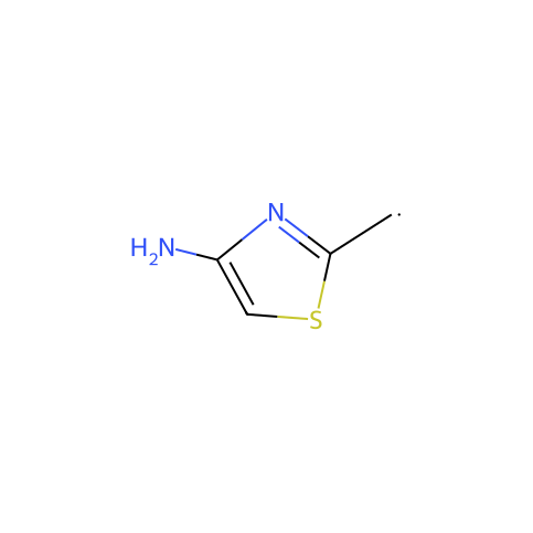 [CH2]c1nc(N)cs1